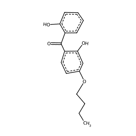 CCCCOc1ccc(C(=O)c2ccccc2O)c(O)c1